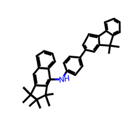 CC1(C)c2ccccc2-c2ccc(-c3ccc(Nc4c5c(cc6ccccc46)C(C)(C)C(C)(C)C5(C)C)cc3)cc21